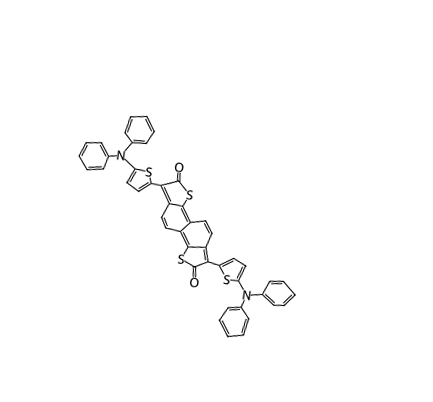 O=C1Sc2c(ccc3c4c(ccc23)=C(c2ccc(N(c3ccccc3)c3ccccc3)s2)C(=O)S4)=C1c1ccc(N(c2ccccc2)c2ccccc2)s1